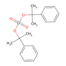 CC(C)([O][Cr](=[O])(=[O])[O]C(C)(C)c1ccccc1)c1ccccc1